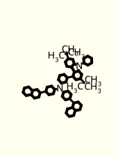 CC(C)(C)c1ccc2c3c(-c4cccc(N(c5ccc(-c6ccc7ccccc7c6)cc5)c5ccc(-c6cccc7ccccc67)cc5)c4)cc(C(C)(C)C)cc3n(-c3ccccc3)c2c1